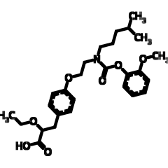 CCOC(Cc1ccc(OCCN(CCCC(C)C)C(=O)Oc2ccccc2OC)cc1)C(=O)O